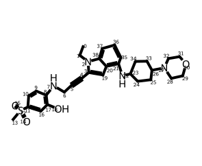 CCn1c(C#CCNc2ccc(S(C)(=O)=O)cc2O)cc2c(NC3CCC(N4CCOCC4)CC3)cccc21